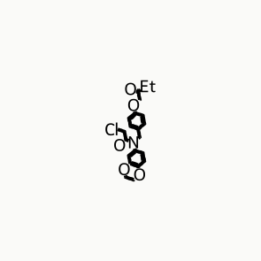 CCC(=O)COc1ccc(CN(C(=O)CCl)c2ccc3c(c2)OCCO3)cc1